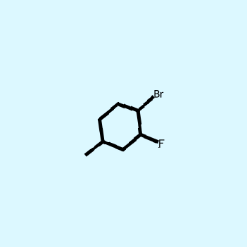 CC1CCC(Br)C(F)C1